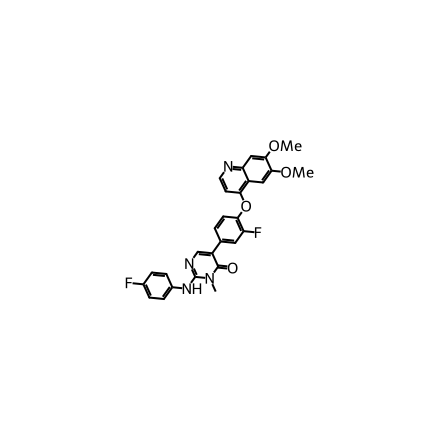 COc1cc2nccc(Oc3ccc(-c4cnc(Nc5ccc(F)cc5)n(C)c4=O)cc3F)c2cc1OC